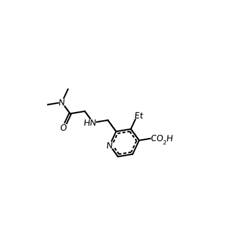 CCc1c(C(=O)O)ccnc1CNCC(=O)N(C)C